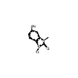 CCn1c(=O)n(C)c2cc(C(C)(C)C)ccc21